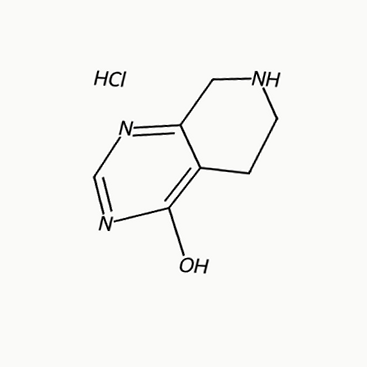 Cl.Oc1ncnc2c1CCNC2